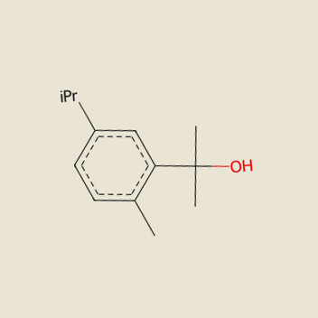 Cc1ccc(C(C)C)cc1C(C)(C)O